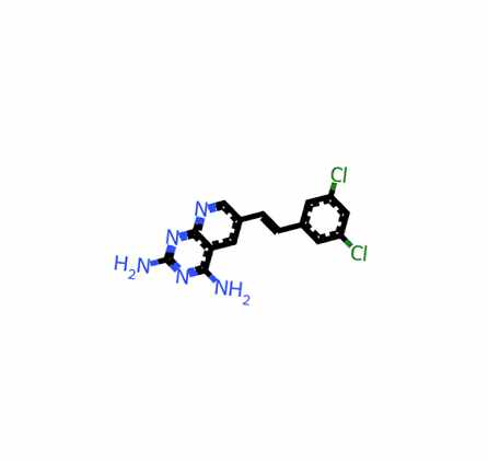 Nc1nc(N)c2cc(C=Cc3cc(Cl)cc(Cl)c3)cnc2n1